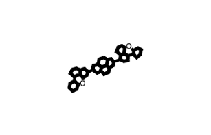 c1ccc2c(c1)Oc1cc(-c3cc4ccc5cc(-c6ccc7c8c(cccc68)Oc6ccccc6-7)cc6ccc(c3)c4c56)cc3cccc-2c13